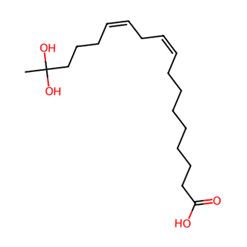 CC(O)(O)CCC/C=C\C/C=C\CCCCCCCC(=O)O